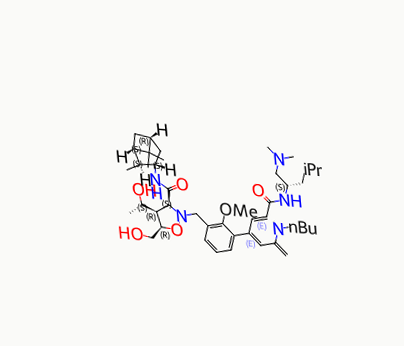 C=C(/C=C(\C=C\C(=O)N[C@@H](CC(C)C)CN(C)C)c1cccc(CN2O[C@@H](CO)[C@@H]([C@H](C)O)[C@H]2C(=O)N[C@H]2C[C@H]3C[C@@H]([C@@H]2C)C3(C)C)c1OC)N(C)CCCC